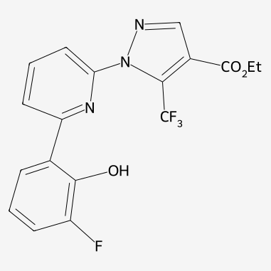 CCOC(=O)c1cnn(-c2cccc(-c3cccc(F)c3O)n2)c1C(F)(F)F